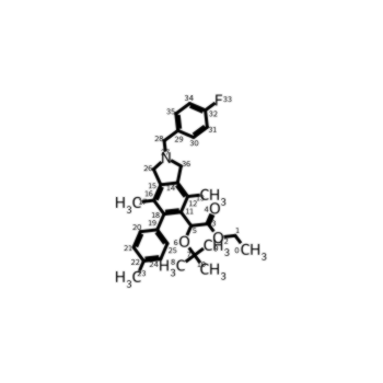 CCOC(=O)C(OC(C)(C)C)c1c(C)c2c(c(C)c1-c1ccc(C)cc1)CN(Cc1ccc(F)cc1)C2